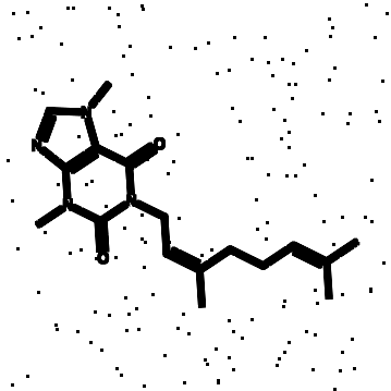 CC(C)=CCCC(C)=CCn1c(=O)c2c(ncn2C)n(C)c1=O